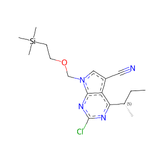 CC[C@H](C)c1nc(Cl)nc2c1c(C#N)cn2COCC[Si](C)(C)C